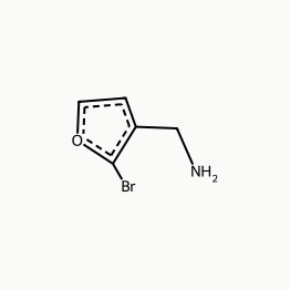 NCc1ccoc1Br